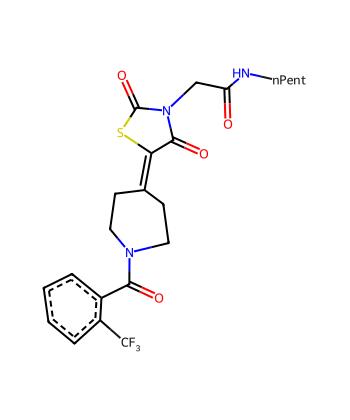 CCCCCNC(=O)CN1C(=O)SC(=C2CCN(C(=O)c3ccccc3C(F)(F)F)CC2)C1=O